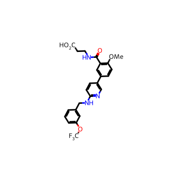 COc1ccc(-c2ccc(NCc3cccc(OC(F)(F)F)c3)nc2)cc1C(=O)NCCC(=O)O